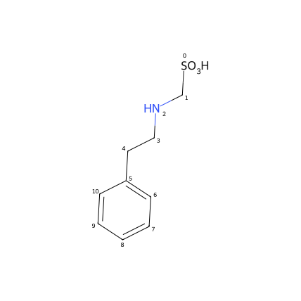 O=S(=O)(O)CNCCc1ccccc1